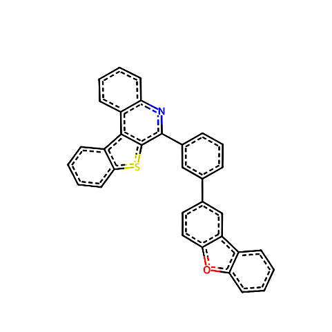 c1cc(-c2ccc3oc4ccccc4c3c2)cc(-c2nc3ccccc3c3c2sc2ccccc23)c1